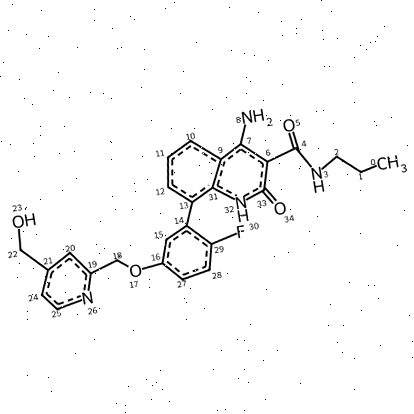 CCCNC(=O)c1c(N)c2cccc(-c3cc(OCc4cc(CO)ccn4)ccc3F)c2[nH]c1=O